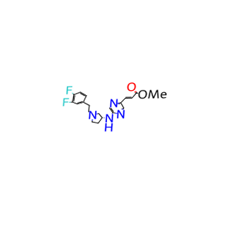 COC(=O)/C=C/c1cnc(N[C@@H]2CCN(CCc3ccc(F)c(F)c3)C2)cn1